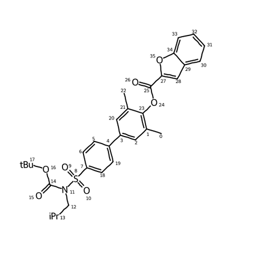 Cc1cc(-c2ccc(S(=O)(=O)N(CC(C)C)C(=O)OC(C)(C)C)cc2)cc(C)c1OC(=O)c1cc2ccccc2o1